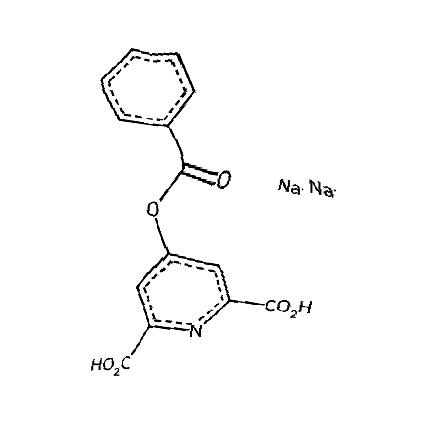 O=C(Oc1cc(C(=O)O)nc(C(=O)O)c1)c1ccccc1.[Na].[Na]